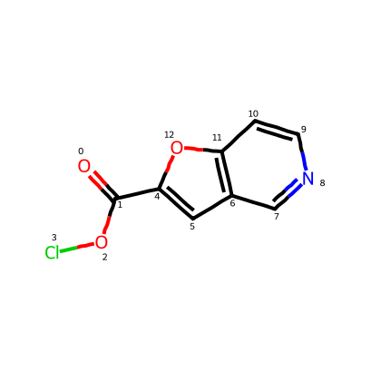 O=C(OCl)c1cc2cnccc2o1